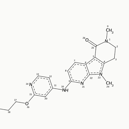 CN1CCc2c(c3ccc(Nc4ccnc(OCCF)c4)nc3n2C)C1=O